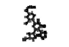 CCCCCCOc1ccc(-c2cc(-c3ncc(CC)s3)c(-c3nnn[nH]3)c(=O)[nH]2)c(F)c1